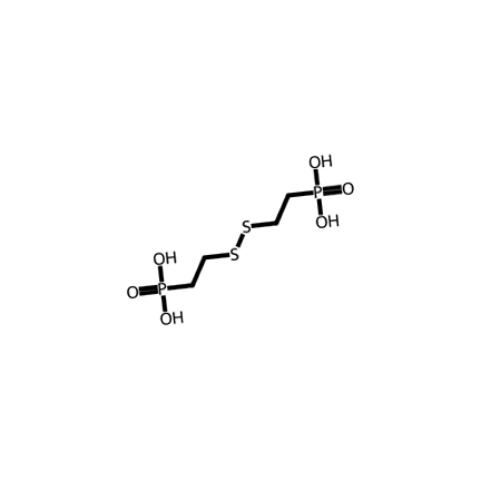 O=P(O)(O)CCSSCCP(=O)(O)O